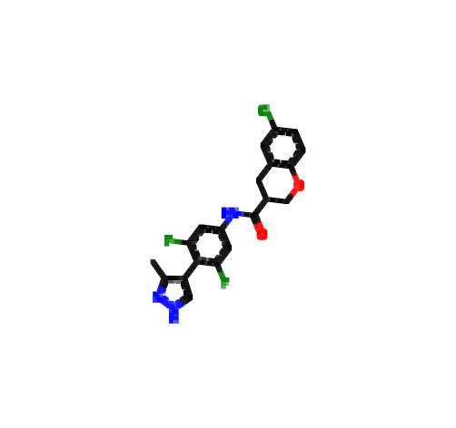 Cc1n[nH]cc1-c1c(F)cc(NC(=O)C2COc3ccc(Cl)cc3C2)cc1F